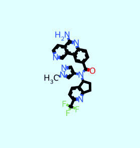 Cn1cc(N(C(=O)c2ccc3nc(N)c4ccncc4c3c2)C2CCc3nc(C(F)(F)F)ccc32)cn1